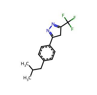 CC(C)Cc1ccc(C2=NN=C(C(F)(F)F)C2)cc1